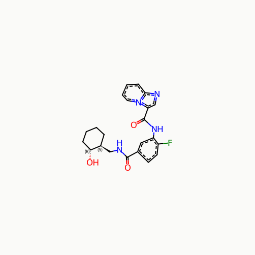 O=C(NC[C@@H]1CCCC[C@H]1O)c1ccc(F)c(NC(=O)c2cnc3ccccn23)c1